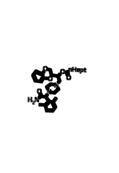 CCCCCCCC(=O)OC(CN1CCN(C(C(N)=O)c2c(C)cccc2C)CC1)C1COc2ccccc2O1